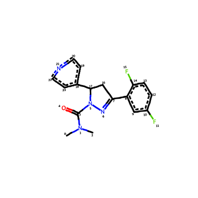 CN(C)C(=O)N1N=C(c2cc(F)ccc2F)CC1c1ccncc1